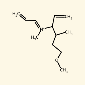 C=C/C=[N+](\C)C(C=C)C(C)CCOC